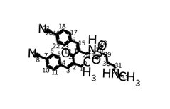 CC/C(=C/c1ccc(C#N)cc1)C(=O)/C(=C\c1ccc(C#N)cc1)CNS(=O)(=O)CCCNC